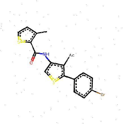 CC(=O)c1c(NC(=O)c2sccc2C)csc1-c1ccc(Br)cc1